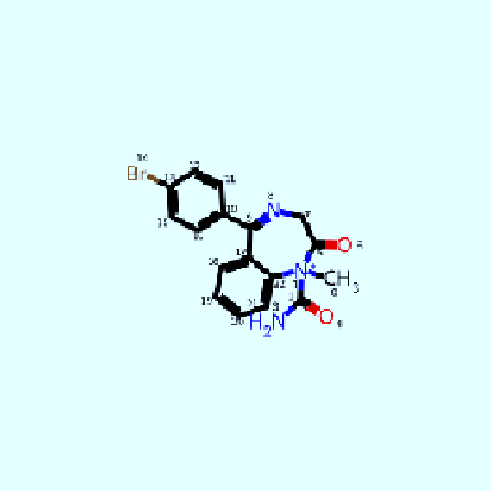 C[N+]1(C(N)=O)C(=O)[CH]N=C(c2ccc(Br)cc2)c2ccccc21